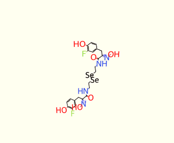 O=C(NCC[Se][Se]CCNC(=O)/C(Cc1ccc(O)c(F)c1)=N/O)/C(Cc1ccc(O)c(F)c1)=N/O